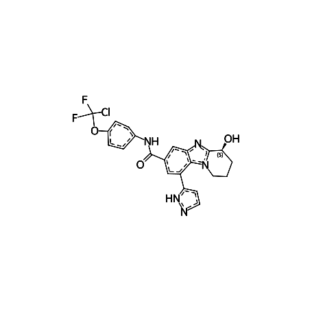 O=C(Nc1ccc(OC(F)(F)Cl)cc1)c1cc(-c2ccn[nH]2)c2c(c1)nc1n2CCC[C@@H]1O